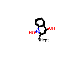 CCCCCCCc1cc(O)c2ccccc2[n+]1O